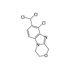 Clc1c(C(Cl)Cl)ccc2c1nc1n2CCOC1